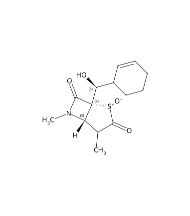 CC1C(=O)[S+]([O-])[C@@]2([C@@H](O)C3C=CCCC3)C(=O)N(C)[C@@H]12